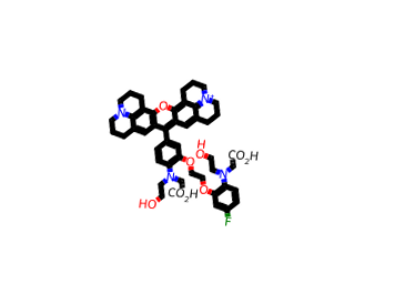 O=C(O)CN(CCO)c1ccc(F)cc1OCCOc1cc(C2=c3cc4c5c(c3Oc3c2cc2c6c3CCCN6CCC2)CCC[N+]=5CCC4)ccc1N(CCO)CC(=O)O